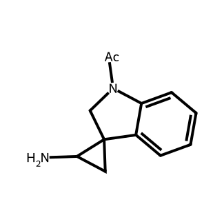 CC(=O)N1CC2(CC2N)c2ccccc21